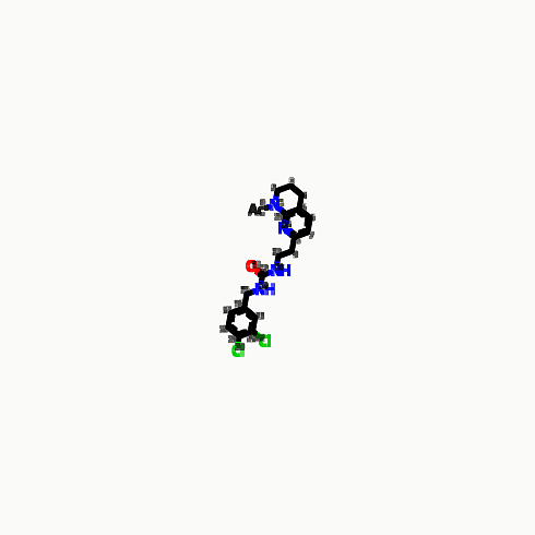 CC(=O)N1CCCc2ccc(CCNC(=O)NCc3ccc(Cl)c(Cl)c3)nc21